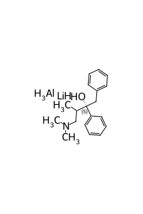 CC(CN(C)C)[C@@](O)(Cc1ccccc1)c1ccccc1.[AlH3].[LiH]